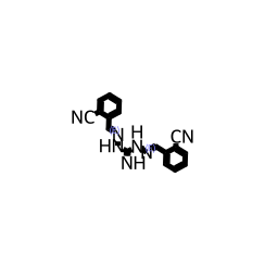 N#Cc1ccccc1/C=N/NC(=N)N/N=C/c1ccccc1C#N